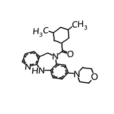 CC1CC(C)CC(C(=O)N2Cc3cccnc3Nc3ccc(N4CCOCC4)cc32)C1